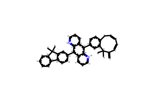 C=C1/C=C\C=C/Cc2ccc(-c3c4cccnc4c(-c4ccc5c(c4)C(C)(C)c4ccccc4-5)c4cccnc34)cc2C1(C)C